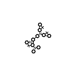 CC1(C)c2ccccc2-c2ccc(N(c3ccc(-c4ccc5c(c4)c4cc(N(c6ccccc6)c6ccccc6)cc6c4n5-c4ccccc4C6(C)C)cc3)c3ccc4c(c3)C(C)(C)c3ccccc3-4)cc21